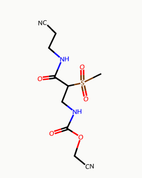 CS(=O)(=O)C(CNC(=O)OCC#N)C(=O)NCCC#N